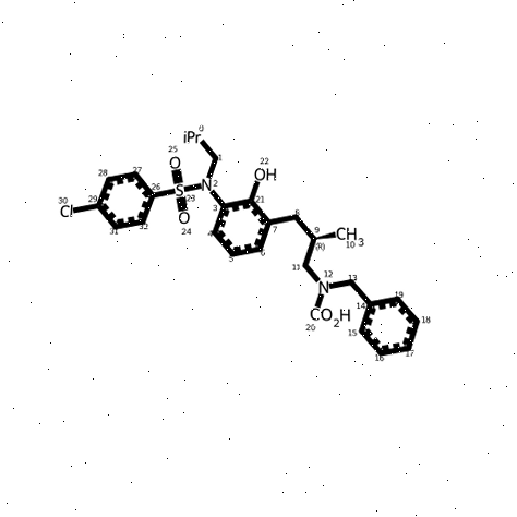 CC(C)CN(c1cccc(C[C@@H](C)CN(Cc2ccccc2)C(=O)O)c1O)S(=O)(=O)c1ccc(Cl)cc1